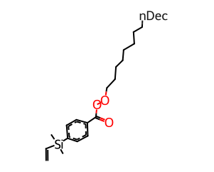 [CH2]CCCCCCCCCCCCCCCCCOOC(=O)c1ccc([Si](C)(C)C=C)cc1